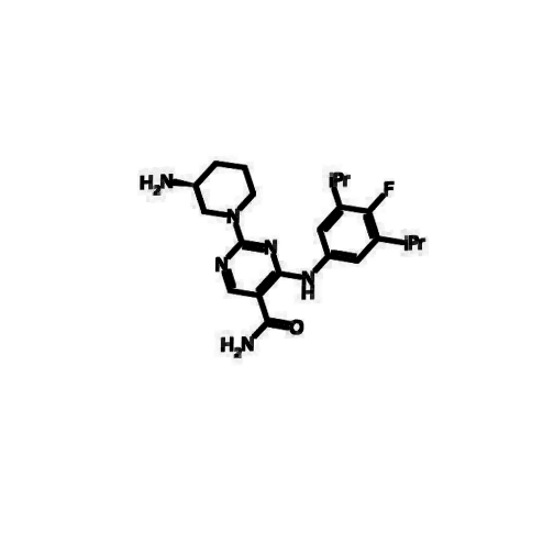 CC(C)c1cc(Nc2nc(N3CCC[C@H](N)C3)ncc2C(N)=O)cc(C(C)C)c1F